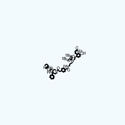 CC(C)(C)OC(=O)N(CCCNC(=O)c1ccc(CC(=O)N2CCC(NC(=O)O[C@H]3CN4CCC3CC4)(c3ccccc3)CC2)cc1)CC(O[Si](C)(C)C(C)(C)C)c1ccc(O)c2[nH]c(=O)ccc12